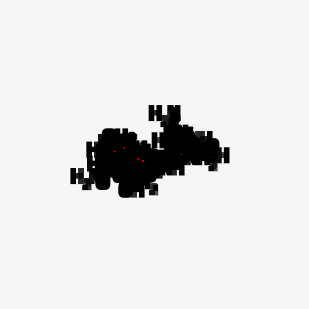 CSCC[C@H](NC(=O)[C@@H](N)CO)C(=O)N[C@@H](CCC(N)=O)C(=O)N[C@@H](C)C(=O)N[C@@H](CO)C(=O)N[C@@H](CC(C)C)C(=O)N[C@@H](CCC(=O)O)C(=O)N[C@@H](C)C(=O)N[C@@H](CC(=O)O)C(=O)N[C@@H](C)C(=O)N[C@@H](CCCCN)C(=O)NCC(=O)N[C@@H](CCCCN)C(=O)N[C@@H](C)C(=O)N[C@@H](CCC(=O)O)C(=O)O